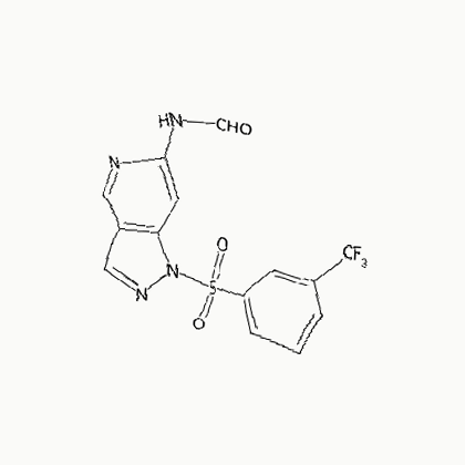 O=CNc1cc2c(cn1)cnn2S(=O)(=O)c1cccc(C(F)(F)F)c1